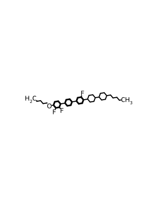 C=CCCCOc1ccc(-c2ccc(-c3ccc(C4CCC(C5CCC(CCCCC)CC5)CC4)c(F)c3)cc2)c(F)c1F